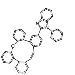 C1=C\c2ccc(-c3nc4ccccc4n3-c3ccccc3)cc2-c2ccccc2Oc2ccccc2-c2ccccc2/1